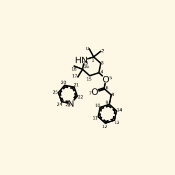 CC1(C)CC(OC(=O)Cc2ccccc2)CC(C)(C)N1.c1ccncc1